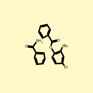 CCc1ccc(OC(=O)c2ccccc2)c(C(C)(C)C)c1.NC(=O)c1ccccc1